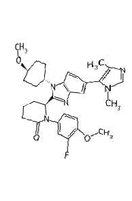 COc1ccc(N2C(=O)CCC[C@H]2c2nc3cc(-c4c(C)ncn4C)ccc3n2[C@H]2CC[C@H](OC)CC2)cc1F